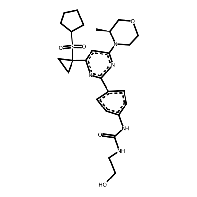 C[C@H]1COCCN1c1cc(C2(S(=O)(=O)C3CCCC3)CC2)nc(-c2ccc(NC(=O)NCCO)cc2)n1